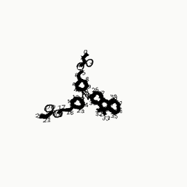 C=CC(=O)OCCc1ccc(N(c2ccc(CCOC(=O)C=C)cc2)c2ccc3c(c2)C(C)(C)c2ccccc2-3)cc1